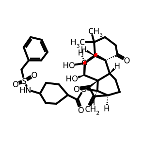 C=C1C(=O)[C@]23[C@H](OC(=O)C4CCC(NS(=O)(=O)Cc5ccccc5)CC4)[C@H]1CC[C@H]2[C@@]12CO[C@]3(O)[C@@H](O)[C@@H]1C(C)(C)CCC2=O